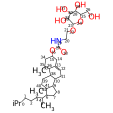 CC(C)CCCC(C)C1CCC2C3CC=C4CC(OC(=O)NCCO[C@H]5OC(CO)[C@H](O)C(O)C5O)CC[C@]4(C)C3CC[C@]12C